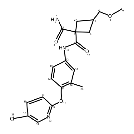 COCC1CC(C(N)=O)(C(=O)Nc2ccc(Oc3ccc(Cl)cn3)c(C)c2)C1